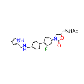 CC(=O)NC[C@H]1CN(c2ccc(-c3ccc(CNCc4ccc[nH]4)cc3)c(F)c2)C(=O)O1